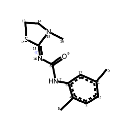 Cc1ccc(C)c(NC(=O)/N=C2/SCCN2C)c1